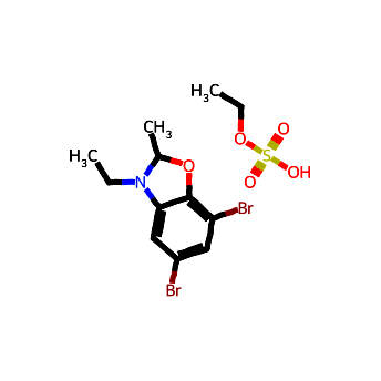 CCN1c2cc(Br)cc(Br)c2OC1C.CCOS(=O)(=O)O